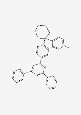 Cc1ccc(C2(c3ccc(-c4cc(-c5ccccc5)nc(-c5ccccc5)n4)cc3)CCCCC2)cc1